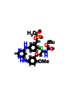 COc1ccc(Nc2cc(Nc3ccc(Cl)c(COS(C)(=O)=O)c3)ncn2)cc1OCCNC(=O)OC(C)(C)C